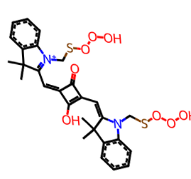 CC1(C)C(/C=C2\C(=O)C(/C=C3/N(CSOOO)c4ccccc4C3(C)C)=C2O)=[N+](CSOOO)c2ccccc21